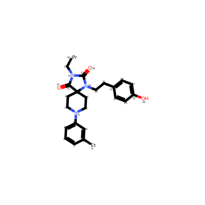 CCc1cccc(N2CCC3(CC2)C(=O)N(CC(C)C)C(=O)N3CCc2ccc(O)cc2)c1